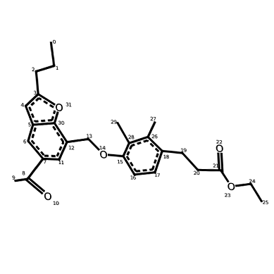 CCCc1cc2cc(C(C)=O)cc(COc3ccc(CCC(=O)OCC)c(C)c3C)c2o1